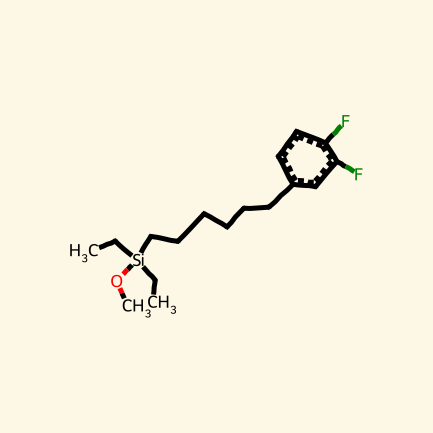 CC[Si](CC)(CCCCCCc1ccc(F)c(F)c1)OC